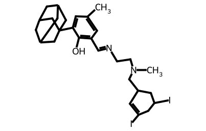 Cc1cc(/C=N/CCN(C)CC2C=C(I)CC(I)C2)c(O)c(C23CC4CC(CC(C4)C2)C3)c1